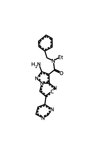 CCN(Cc1ccccc1)C(=O)c1c(N)nn2cc(-c3ccncn3)cnc12